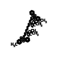 Cc1ccc(S(=O)(=O)N(CCCN(CCCCCN(CCCN(c2ccccc2)S(=O)(=O)c2ccc(C)cc2)C(=O)OC(C)(C)C)C(=O)OC(C)(C)C)c2ccccc2)cc1